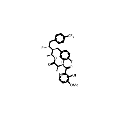 CC[C@H](Cc1ccc(C(F)(F)F)cc1)[C@@H](Cc1ccc(F)cc1)[C@H](C)OC(=O)[C@H](C)NC(=O)c1nccc(OC)c1O